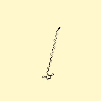 C#CCOCCOCCOCCOCCOCCOCCN1C(=O)C=CC1=O